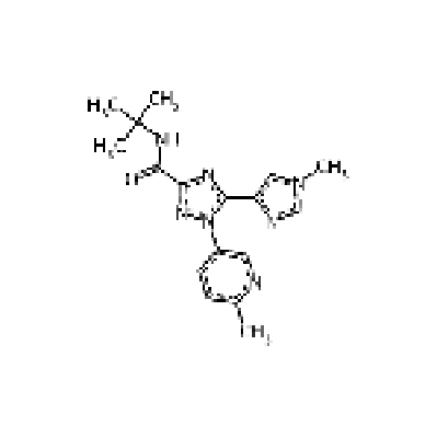 Cc1ccc(-n2nc(C(=O)NC(C)(C)C)nc2-c2cn(C)cn2)cn1